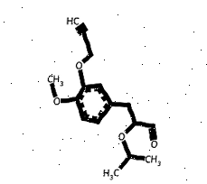 C#CCOc1cc(CC(C=O)OC(C)C)ccc1OC